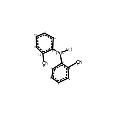 N#Cc1cccc[c]1[Pd]([Cl])[c]1ccccc1C#N